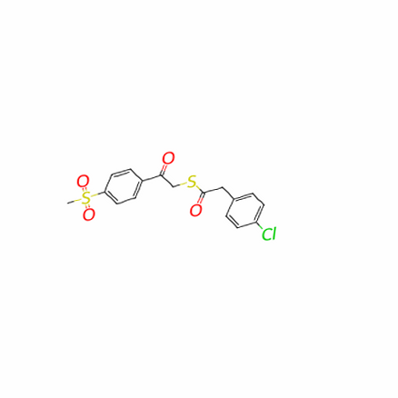 CS(=O)(=O)c1ccc(C(=O)CSC(=O)Cc2ccc(Cl)cc2)cc1